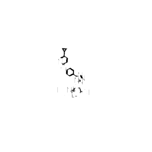 CC(C)(C)C(O)[C@H](Cn1nnc(-c2ccc(Oc3ccc(C4CC4)cn3)cc2)n1)OC(N)=O